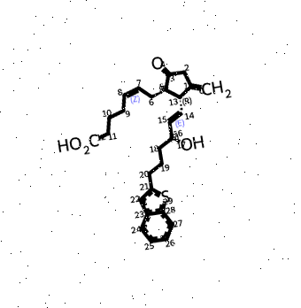 C=C1CC(=O)[C@H](C/C=C\CCCC(=O)O)[C@H]1/C=C/[C@@H](O)CCCc1cc2ccccc2s1